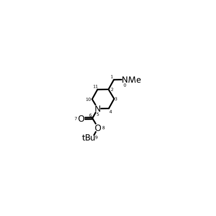 [CH2]NCC1CCN(C(=O)OC(C)(C)C)CC1